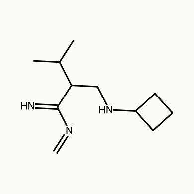 C=NC(=N)C(CNC1CCC1)C(C)C